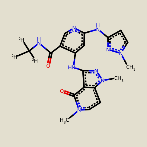 [2H]C([2H])([2H])NC(=O)c1cnc(Nc2ccn(C)n2)cc1Nc1nn(C)c2ccn(C)c(=O)c12